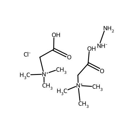 C[N+](C)(C)CC(=O)O.C[N+](C)(C)CC(=O)O.[Cl-].[NH-]N